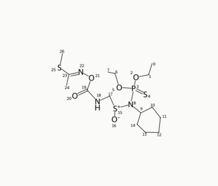 CCOP(=S)(OCC)N(C1CCCCC1)[S+]([O-])CNC(=O)O/N=C(\C)SC